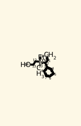 C=CC(c1ccccc1)[N+](C)(CC)CCO